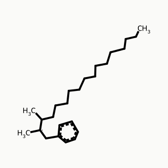 CCCCCCCCCCCCCCC(C)[C](C)Cc1ccccc1